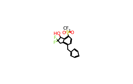 O=S(=O)(c1ccc(Cc2ccccc2)c2c1C(O)C(F)(F)C2)C(F)(F)F